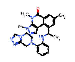 CCn1ncc2c3c(C(C)Nc4ccccc4N4CCn5cnnc5C4)cc(C)cc3c(=O)n(C)c21